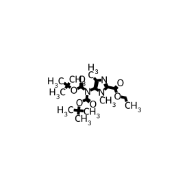 CCOC(=O)c1nc(C)c(N(C(=O)OC(C)(C)C)C(=O)OC(C)(C)C)n1C